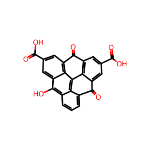 O=C(O)c1cc2c3c(c1)c(=O)c1cc(C(=O)O)cc4c(O)c5cccc(c2=O)c5c-3c41